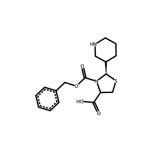 O=C(O)C1CS[C@H](C2CCCNC2)N1C(=O)OCc1ccccc1